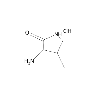 CC1CNC(=O)C1N.Cl